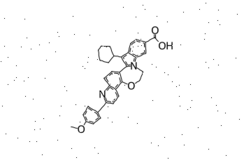 COc1ccc(-c2ccc3c4c(ccc3n2)-c2c(C3CCCCC3)c3ccc(C(=O)O)cc3n2CCO4)cc1